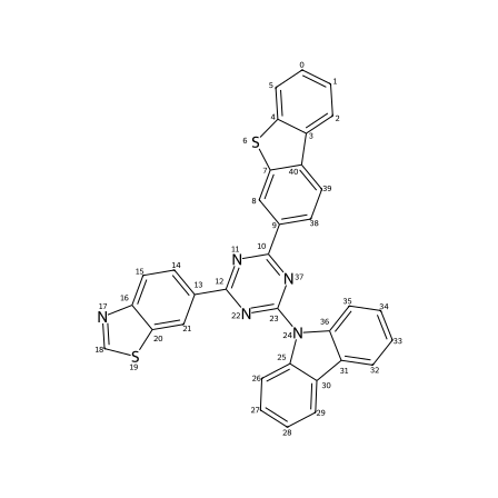 c1ccc2c(c1)sc1cc(-c3nc(-c4ccc5ncsc5c4)nc(-n4c5ccccc5c5ccccc54)n3)ccc12